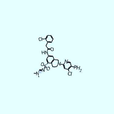 CN(C)/C=N/S(=O)(=O)c1cc(NC(=O)Cc2ccccc2Cl)cc2c1CCN(c1cc(Cl)c(P)cn1)C2